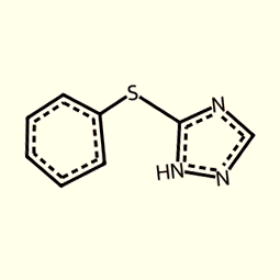 c1ccc(Sc2ncn[nH]2)cc1